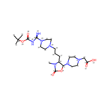 CN1C(=O)OC(N2CCN(CC(=O)O)CC2)C1CCCN1CCN(C(=N)NC(=O)OC(C)(C)C)CC1